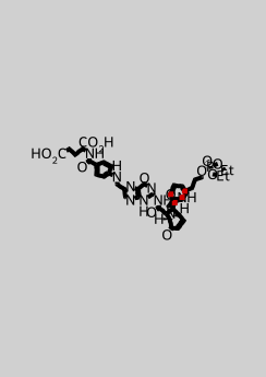 CCOP(=O)(OCC)OCCCCNC(=O)C1C(C(=O)Nc2nc(=O)c3nc(CNc4ccc(C(=O)N[C@@H](CCC(=O)O)C(=O)O)cc4)cnc3[nH]2)[C@H]2C(=O)C=C[C@@H]1N2Cc1ccccc1